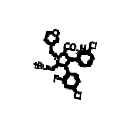 CC(C)(C)CC1C(c2ccc(Cl)cc2F)C(c2cccc(Cl)c2)C(C(=O)O)N1CC1CCOC1